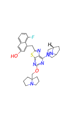 Oc1cc(Cc2nc3c(N4CC5CC[C@@H](C4)N5)nc(OCC45CCCN4CCC5)nc3s2)c2c(F)cccc2c1